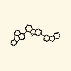 C1=CC2=C(CC1)Cc1ccc(-c3ccc4c(c3)sc3c(-c5ccc6c7c(cccc57)-c5ccccc5-6)cccc34)cc12